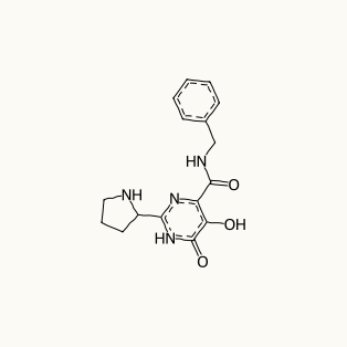 O=C(NCc1ccccc1)c1nc(C2CCCN2)[nH]c(=O)c1O